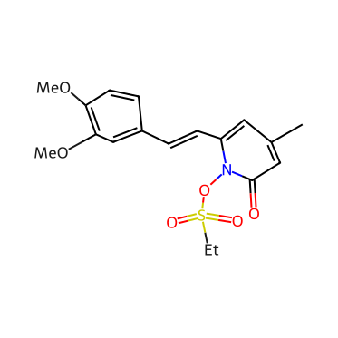 CCS(=O)(=O)On1c(/C=C/c2ccc(OC)c(OC)c2)cc(C)cc1=O